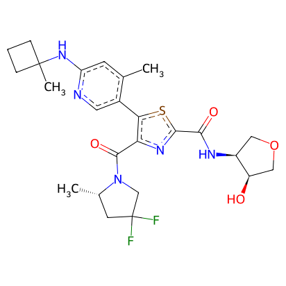 Cc1cc(NC2(C)CCC2)ncc1-c1sc(C(=O)N[C@H]2COC[C@H]2O)nc1C(=O)N1CC(F)(F)C[C@@H]1C